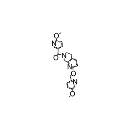 COc1ccc(COc2ccc3c(n2)CN(C(=O)c2ccc(OC)nc2)CC3)nc1